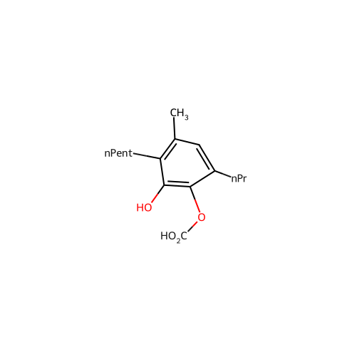 CCCCCc1c(C)cc(CCC)c(OC(=O)O)c1O